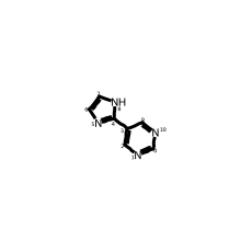 c1ncc(-c2ncc[nH]2)cn1